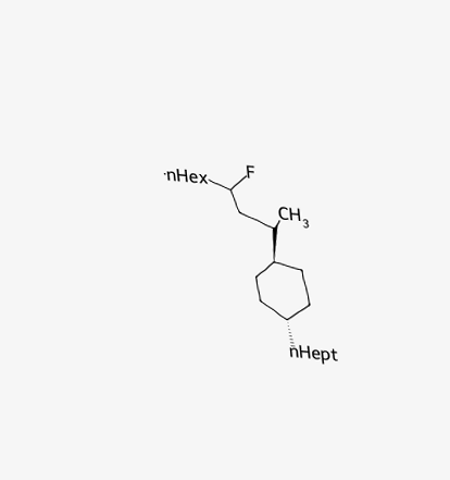 CCCCC[CH]C(F)CC(C)[C@H]1CC[C@H](CCCCCCC)CC1